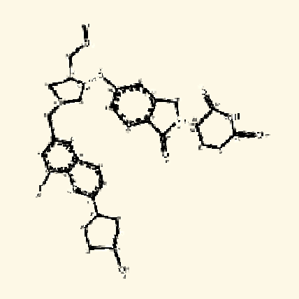 COC[C@@H]1CN(Cc2cc(F)c3nc(C4CCC(O)CC4)ccc3c2)C[C@H]1Oc1ccc2c(c1)CN([C@H]1CCC(=O)NC1=O)C2=O